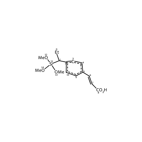 CCC(c1ccc(C=CC(=O)O)cc1)[Si](OC)(OC)OC